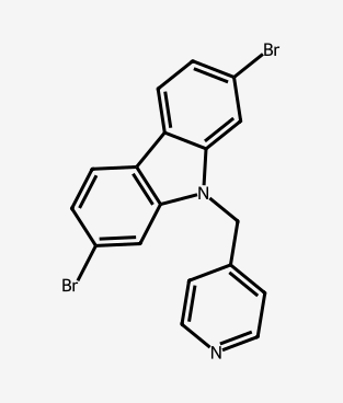 Brc1ccc2c3ccc(Br)cc3n(Cc3ccncc3)c2c1